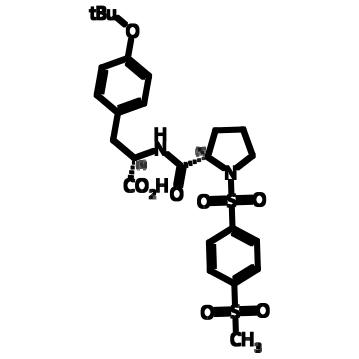 CC(C)(C)Oc1ccc(C[C@H](NC(=O)[C@@H]2CCCN2S(=O)(=O)c2ccc(S(C)(=O)=O)cc2)C(=O)O)cc1